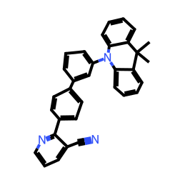 CC1(C)c2ccccc2N(c2cccc(-c3ccc(-c4ncccc4C#N)cc3)c2)c2ccccc21